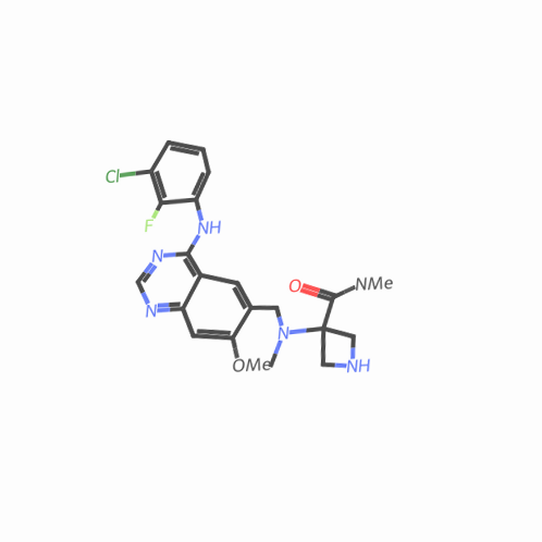 CNC(=O)C1(N(C)Cc2cc3c(Nc4cccc(Cl)c4F)ncnc3cc2OC)CNC1